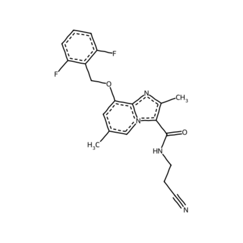 Cc1cc(OCc2c(F)cccc2F)c2nc(C)c(C(=O)NCCC#N)n2c1